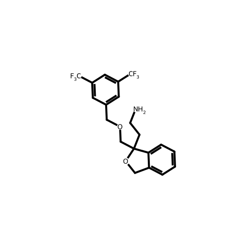 NCCC1(COCc2cc(C(F)(F)F)cc(C(F)(F)F)c2)OCc2ccccc21